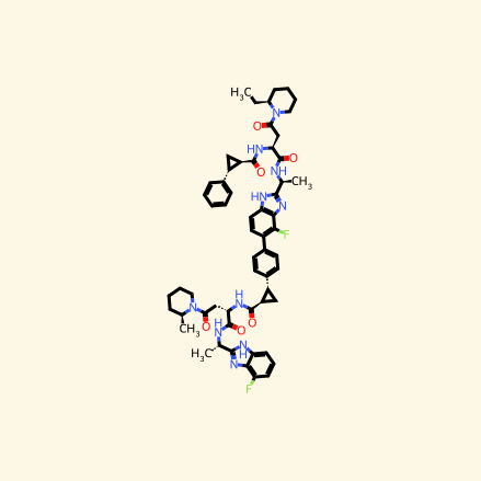 CC[C@H]1CCCCN1C(=O)C[C@H](NC(=O)[C@@H]1C[C@H]1c1ccccc1)C(=O)N[C@@H](C)c1nc2c(F)c(-c3ccc([C@@H]4C[C@H]4C(=O)N[C@@H](CC(=O)N4CCCC[C@@H]4C)C(=O)N[C@@H](C)c4nc5c(F)cccc5[nH]4)cc3)ccc2[nH]1